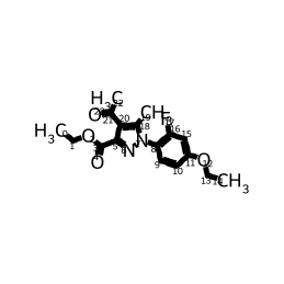 CCOC(=O)c1nn(-c2ccc(OCC)cc2F)c(C)c1C(C)=O